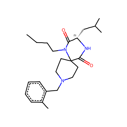 CCCCN1C(=O)[C@H](CC(C)C)NC(=O)C12CCN(Cc1ccccc1C)CC2